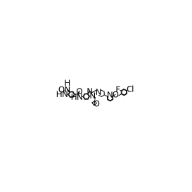 O=C(Nc1ccc2c(c1)nc(CN1CCC(c3cccc(OCc4ccc(Cl)cc4F)n3)CC1)n2C[C@@H]1CCO1)c1ccc2[nH]c(=O)[nH]c2c1